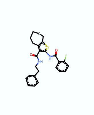 O=C(Nc1sc2c(c1C(=O)NCCc1ccccc1)CCCCC2)c1ccccc1F